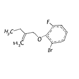 C=C(CC)COc1c(F)cccc1Br